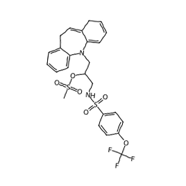 CS(=O)(=O)OC(CNS(=O)(=O)c1ccc(OC(F)(F)F)cc1)CN1C2=CC=CCC2=CCc2ccccc21